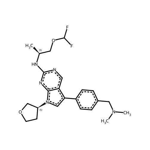 C[C@@H](COC(F)F)Nc1ncc2c(-c3ccc(CN(C)C)cc3)cn([C@H]3CCOC3)c2n1